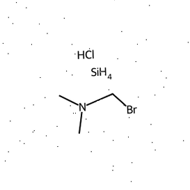 CN(C)CBr.Cl.[SiH4]